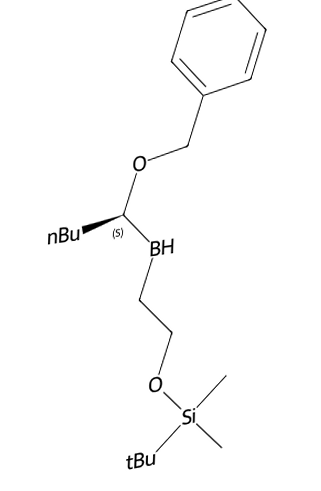 CCCC[C@H](BCCO[Si](C)(C)C(C)(C)C)OCc1ccccc1